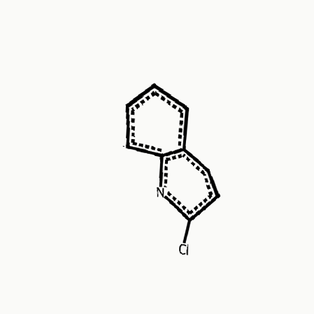 Clc1ccc2ccc[c]c2n1